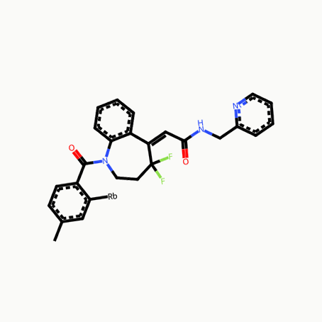 Cc1ccc(C(=O)N2CCC(F)(F)/C(=C\C(=O)NCc3ccccn3)c3ccccc32)[c]([Rb])c1